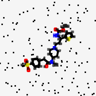 CCN(C(=O)Cc1ccc(S(C)(=O)=O)cc1)C1CCN(CCC(NC(=O)OC(C)(C)C)c2cccs2)CC1